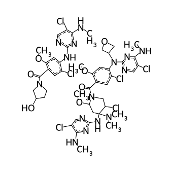 CNc1nc(NC2(N(C)C)CC(OC)N(C(=O)c3cc(Cl)c(N(c4ncc(Cl)c(NC)n4)C4COC4)cc3OC)CC2Cl)ncc1Cl.CNc1nc(Nc2cc(OC)c(C(=O)N3CCC(O)C3)cc2Cl)ncc1Cl